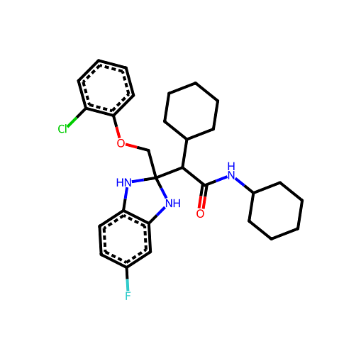 O=C(NC1CCCCC1)C(C1CCCCC1)C1(COc2ccccc2Cl)Nc2ccc(F)cc2N1